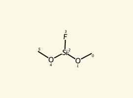 CO[Si](F)OC